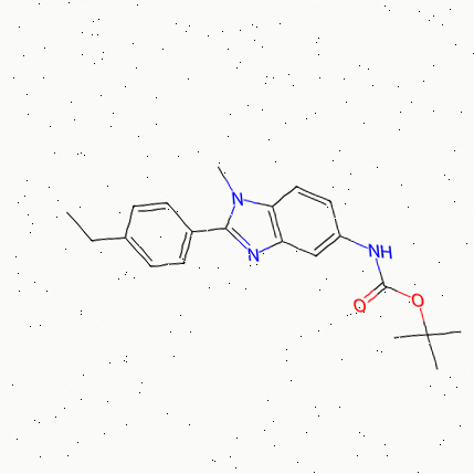 CCc1ccc(-c2nc3cc(NC(=O)OC(C)(C)C)ccc3n2C)cc1